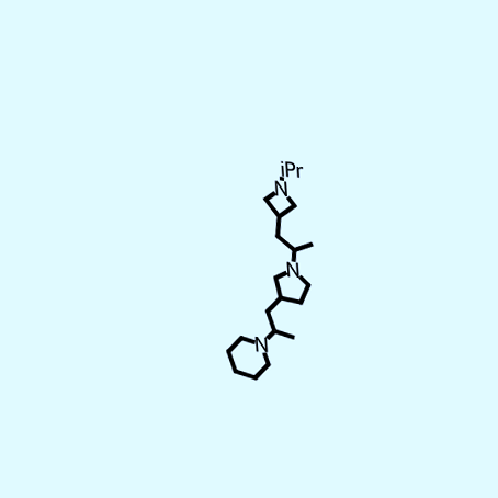 CC(C)N1CC(CC(C)N2CCC(CC(C)N3CCCCC3)C2)C1